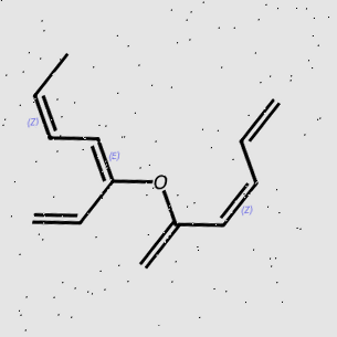 C=C/C=C\C(=C)O/C(C=C)=C/C=C\C